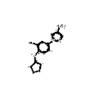 N#Cc1cc(-n2cc(C(=O)O)cn2)ccc1OC1CCCC1